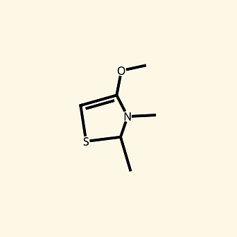 COC1=CSC(C)N1C